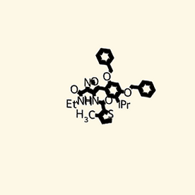 CCNC(=O)c1noc(-c2cc(C(C)C)c(OCc3ccccc3)cc2OCc2ccccc2)c1NC(=O)c1sccc1C